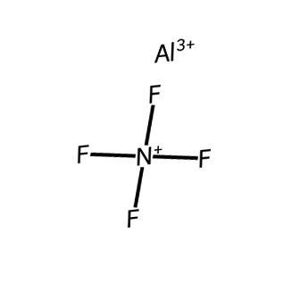 F[N+](F)(F)F.[Al+3]